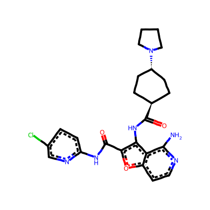 Nc1nccc2oc(C(=O)Nc3ccc(Cl)cn3)c(NC(=O)[C@H]3CC[C@H](N4CCCC4)CC3)c12